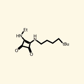 CCNc1c(NCCCCC(C)(C)C)c(=O)c1=O